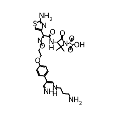 CC1(C)[C@H](NC(=O)/C(=N\OCCOc2ccc(/C(C=N)=C/NCCCN)cc2)c2csc(N)n2)C(=O)N1S(=O)(=O)O